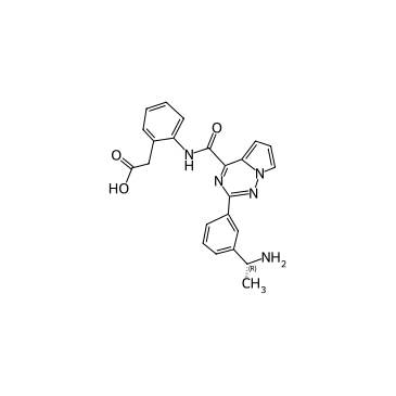 C[C@@H](N)c1cccc(-c2nc(C(=O)Nc3ccccc3CC(=O)O)c3cccn3n2)c1